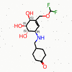 O=C1CCC(CN[C@@H]2C=C(COC(F)F)[C@H](O)[C@H](O)[C@H]2O)CC1